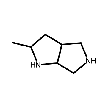 CC1CC2CNCC2N1